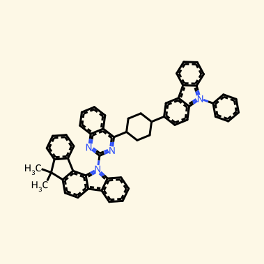 CC1(C)c2ccccc2-c2c1ccc1c3ccccc3n(-c3nc(C4CCC(c5ccc6c(c5)c5ccccc5n6-c5ccccc5)CC4)c4ccccc4n3)c21